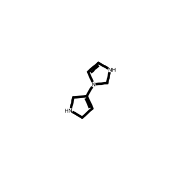 C1=CN(C2=CCNC2)CN1